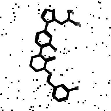 CN(C)Cc1nccn1-c1ccc(N2CCCN(N=Cc3cccc(Cl)c3)C2=O)c(F)c1